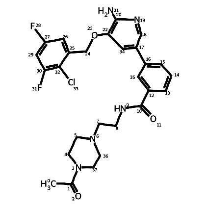 CC(=O)N1CCN(CCNC(=O)c2cccc(-c3cnc(N)c(OCc4cc(F)cc(F)c4Cl)c3)c2)CC1